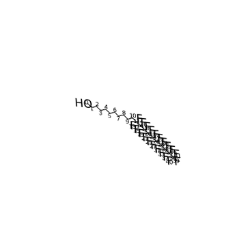 OCCCCCCCCCCC(F)(F)C(F)(F)C(F)(F)C(F)(F)C(F)(F)C(F)(F)C(F)(F)C(F)(F)C(F)(F)C(F)(F)F